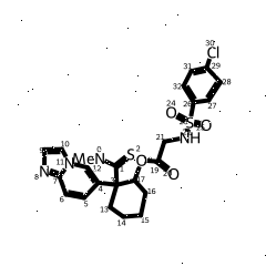 CNC(=S)C1(c2ccc3nccn3c2)CCCCC1OC(=O)CNS(=O)(=O)c1ccc(Cl)cc1